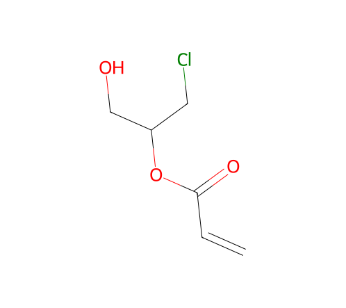 C=CC(=O)OC(CO)CCl